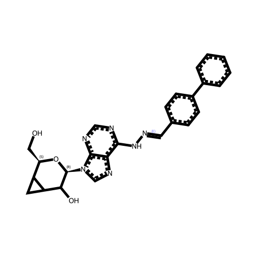 OC[C@H]1O[C@@H](n2cnc3c(N/N=C/c4ccc(-c5ccccc5)cc4)ncnc32)C(O)C2CC21